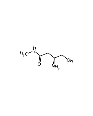 CNC(=O)C[C@H](N)CO